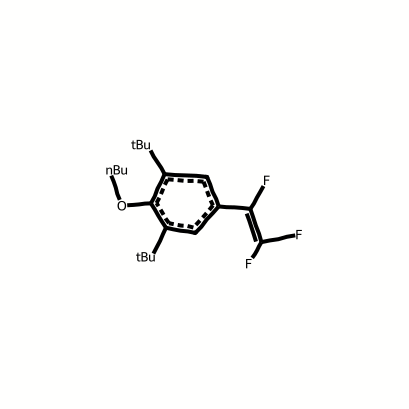 CCCCOc1c(C(C)(C)C)cc(C(F)=C(F)F)cc1C(C)(C)C